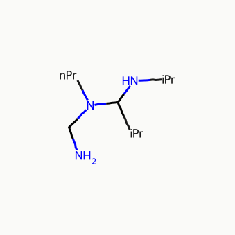 CCCN(CN)C(NC(C)C)C(C)C